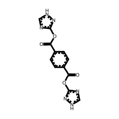 O=C(Oc1nc[nH]n1)c1ccc(C(=O)Oc2nc[nH]n2)cc1